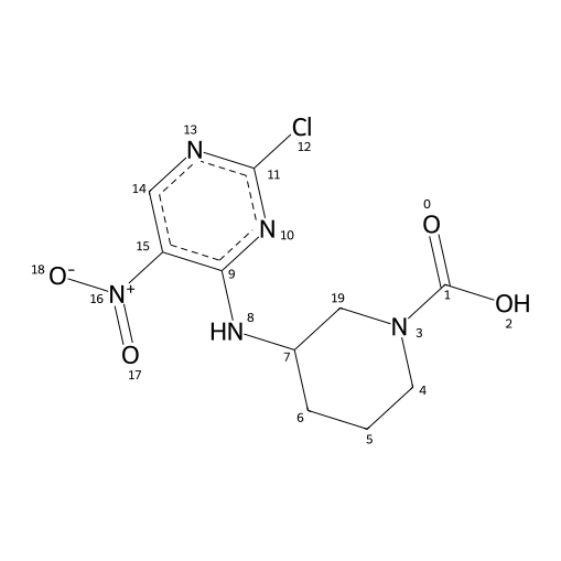 O=C(O)N1CCCC(Nc2nc(Cl)ncc2[N+](=O)[O-])C1